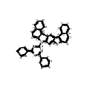 c1ccc(-c2nc(-c3ccccc3)nc(-n3c4cc5sc6ccc7ccccc7c6c5cc4c4c5ccccc5ccc43)n2)cc1